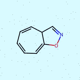 C1=CC=C2ON=CC2C=C1